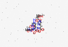 CC(O)C(=O)[O-].CC(O)C(=O)[O-].N[C@@H](CC1C=NC=N1)C(=O)[O-].N[C@@H](Cc1c[nH]cn1)C(=O)[O-].[Mn+2].[Mn+2]